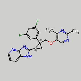 Cc1ncc(OC[C@@]2(c3cc(F)cc(F)c3)C[C@H]2c2nc3ncccc3[nH]2)c(C)n1